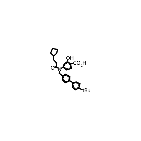 CC(C)(C)c1ccc(-c2ccc(CN(C(=O)CCC3CCCC3)c3ccc(C(=O)O)c(O)c3)cc2)cc1